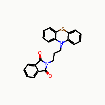 O=C1c2ccccc2C(=O)N1CCCN1c2ccccc2Sc2ccccc21